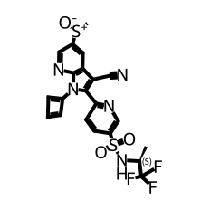 C[C@H](NS(=O)(=O)c1ccc(-c2c(C#N)c3cc([S+](C)[O-])cnc3n2C2=CC=C2)nc1)C(F)(F)F